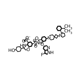 CC(C)c1ccccc1[C@H]1CCCN1C1CC2(CCN(c3ccc(C(=O)NS(=O)(=O)c4cc5c(c([N+](=O)[O-])c4)N[C@H](C4CCC(O)CC4)CO5)c(Oc4cnc5[nH]cc(F)c5c4)c3)CC2)C1